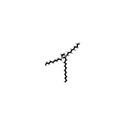 CCCCCCCCCCCCC1N(CCCCCCCCC)C=CN1CCCCCCCCC